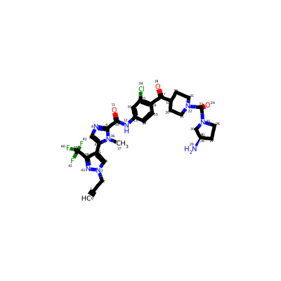 C#CCn1cc(-c2cnc(C(=O)Nc3ccc(C(=O)C4CCN(C(=O)N5CC[C@@H](N)C5)CC4)c(Cl)c3)n2C)c(C(F)(F)F)n1